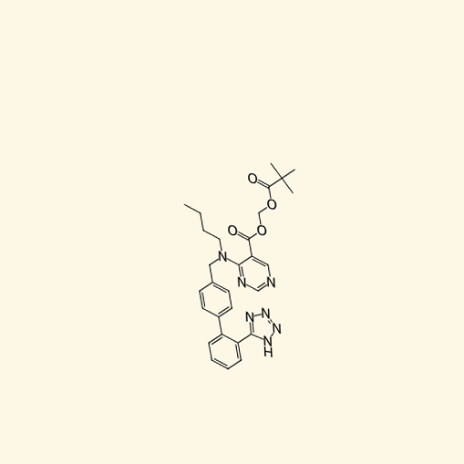 CCCCN(Cc1ccc(-c2ccccc2-c2nnn[nH]2)cc1)c1ncncc1C(=O)OCOC(=O)C(C)(C)C